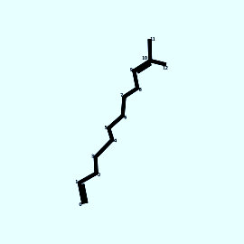 C=CCCCCCCCC=C(C)C